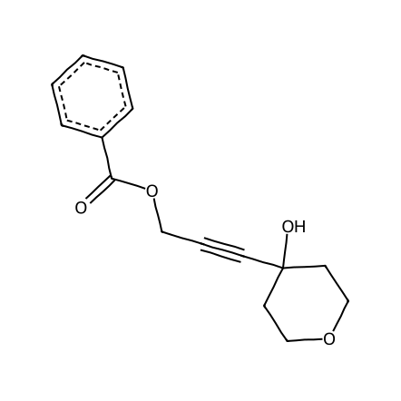 O=C(OCC#CC1(O)CCOCC1)c1ccccc1